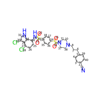 N#Cc1ccc(CCCN2CCN(S(=O)(=O)c3ccc(S(=O)(=O)Nc4ccc(Cl)c5c(Cl)c[nH]c45)cc3)CC2)cc1